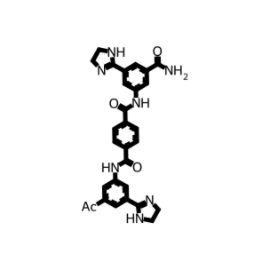 CC(=O)c1cc(NC(=O)c2ccc(C(=O)Nc3cc(C(N)=O)cc(C4=NCCN4)c3)cc2)cc(C2=NCCN2)c1